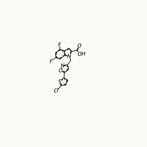 O=C(O)c1cc2c(F)cc(F)cc2n1Cc1cc(-c2ccc(Cl)s2)on1